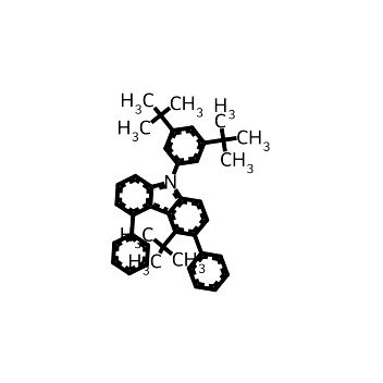 CC(C)(C)c1cc(-n2c3cccc(-c4ccccc4)c3c3c(C(C)(C)C)c(-c4ccccc4)ccc32)cc(C(C)(C)C)c1